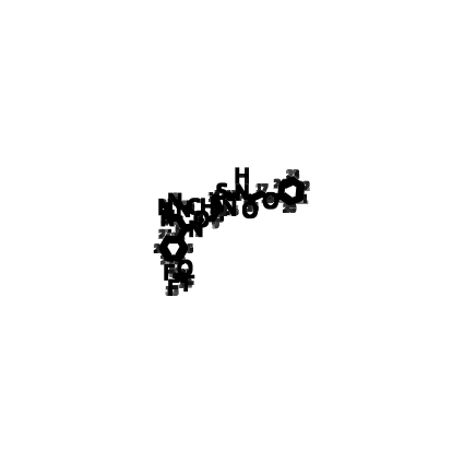 Cn1nnnc1/C(=N\OCc1csc(NC(=O)COc2ccccc2)n1)c1cccc(OC(F)(F)F)c1